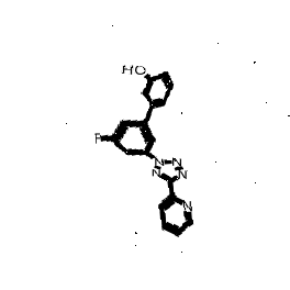 Oc1cccc(-c2cc(F)cc(-n3nnc(-c4ccccn4)n3)c2)c1